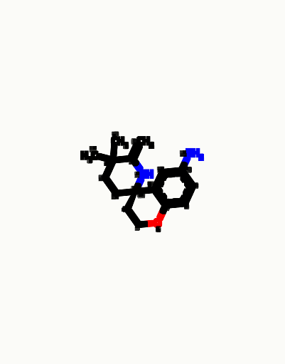 C=C1N[C@@]2(CCOc3ccc(N)cc32)CCC1(C)C